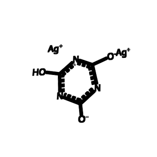 [Ag+].[Ag+].[O-]c1nc([O-])nc(O)n1